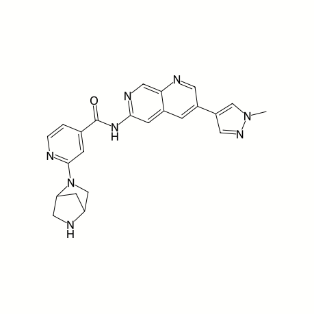 Cn1cc(-c2cnc3cnc(NC(=O)c4ccnc(N5CC6CC5CN6)c4)cc3c2)cn1